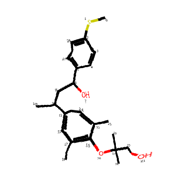 CSc1ccc(C(O)CC(C)c2cc(C)c(OC(C)(C)CO)c(C)c2)cc1